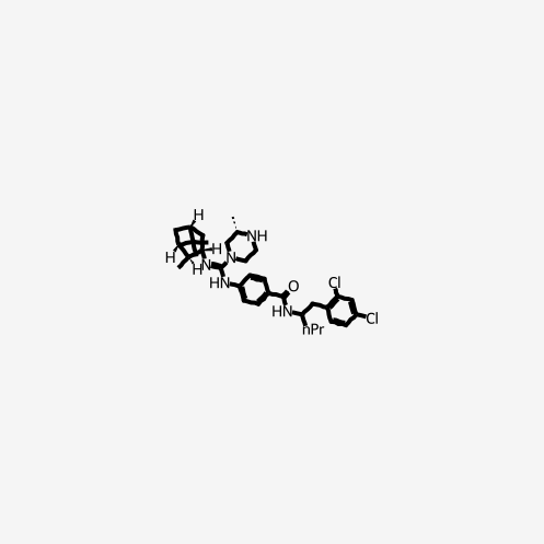 CCCC(Cc1ccc(Cl)cc1Cl)NC(=O)c1ccc(N/C(=N/[C@H]2C[C@H]3C[C@@H]([C@@H]2C)C3(C)C)N2CCN[C@@H](C)C2)cc1